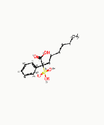 CCCCCCC(C(=O)O)(c1ccccc1)S(=O)(=O)O